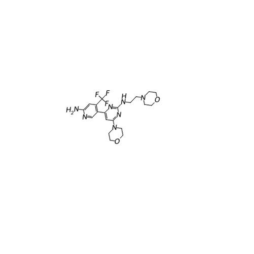 Nc1cc(C(F)(F)F)c(-c2cc(N3CCOCC3)nc(NCCN3CCOCC3)n2)cn1